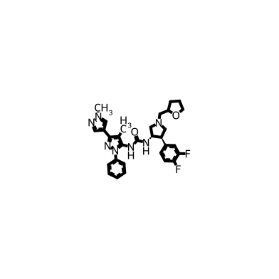 Cc1c(-c2cnn(C)c2)nn(-c2ccccc2)c1NC(=O)N[C@@H]1CN(CC2CCCO2)C[C@H]1c1ccc(F)c(F)c1